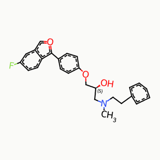 CN(CCc1ccccc1)C[C@H](O)COc1ccc(-c2occ3cc(F)ccc23)cc1